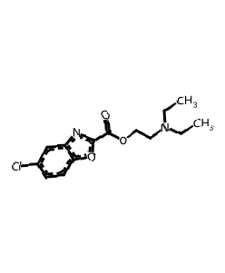 CCN(CC)CCOC(=O)c1nc2cc(Cl)ccc2o1